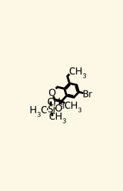 CCc1cc(Br)cc2c1COCC2(C)O[Si](C)(C)C